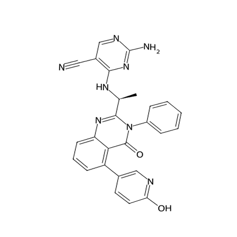 C[C@H](Nc1nc(N)ncc1C#N)c1nc2cccc(-c3ccc(O)nc3)c2c(=O)n1-c1ccccc1